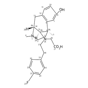 CN1CC[C@]2(C)c3cc(O)ccc3C[C@@H]1[C@@H]2N(CCc1ccc(F)cc1)CC(=O)O